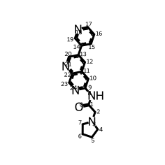 O=C(CN1CCCC1)Nc1cc2cc(-c3cccnc3)cnc2cn1